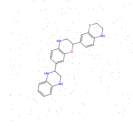 c1ccc2c(c1)NCC(c1ccc3c(c1)OC(c1ccc4c(c1)SCCN4)CN3)N2